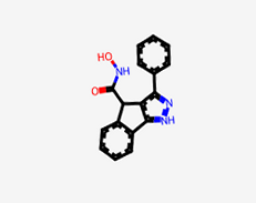 O=C(NO)C1c2ccccc2-c2[nH]nc(-c3ccccc3)c21